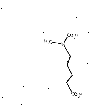 CN(CCCCC(=O)O)C(=O)O